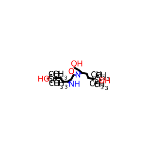 CC(C)(CCC1NC1C1OC(O)C2C(CCC(C)(C)[Si](C)(C)O)N12)[Si](C)(C)O